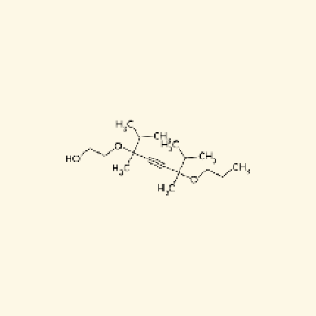 CCCOC(C)(C#CC(C)(OCCO)C(C)C)C(C)C